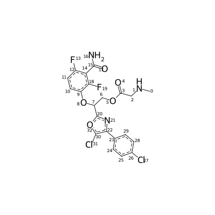 CNCC(=O)OCC(Oc1ccc(F)c(C(N)=O)c1F)c1nc(-c2ccc(Cl)cc2)c(Cl)o1